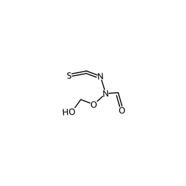 O=CN(N=C=S)OCO